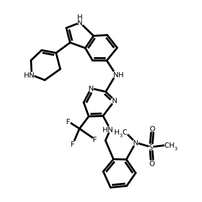 CN(c1ccccc1CNc1nc(Nc2ccc3[nH]cc(C4=CCNCC4)c3c2)ncc1C(F)(F)F)S(C)(=O)=O